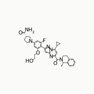 C[C@@H]1c2ccccc2CCN1C(=O)c1cc(C2CC2)n2nc(-c3c(F)cc(N4CC[C@H](C(N)=O)C4)cc3OCCO)cc2n1